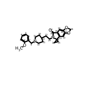 COc1ccccc1CN1CCC(CCN2C(=O)c3cc4c(cc3C23CC3)OCO4)CC1